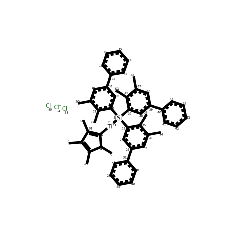 CC1=C(C)C(C)[C]([Ti+3][Si](c2cc(-c3ccccc3)cc(C)c2C)(c2cc(-c3ccccc3)cc(C)c2C)c2cc(-c3ccccc3)cc(C)c2C)=C1C.[Cl-].[Cl-].[Cl-]